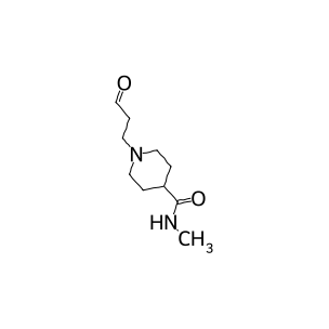 CNC(=O)C1CCN(CCC=O)CC1